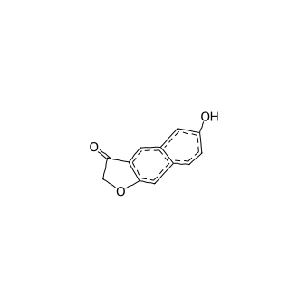 O=C1COc2cc3ccc(O)cc3cc21